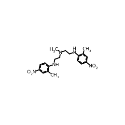 Cc1cc([N+](=O)[O-])ccc1NCCN(C)CCNc1ccc([N+](=O)[O-])cc1C